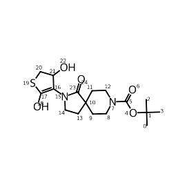 CC(C)(C)OC(=O)N1CCC2(CC1)CCN(C1=C(O)SCC1O)C2=O